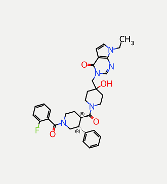 CCn1ccc2c(=O)n(CC3(O)CCN(C(=O)[C@@H]4CCN(C(=O)c5ccccc5F)C[C@H]4c4ccccc4)CC3)cnc21